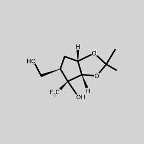 CC1(C)O[C@H]2C[C@H](CO)[C@](O)(C(F)(F)F)[C@H]2O1